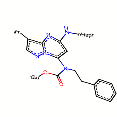 CCCCCCCNc1cc(N(CCc2ccccc2)C(=O)OC(C)(C)C)n2ncc(C(C)C)c2n1